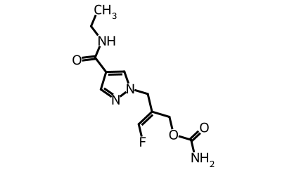 CCNC(=O)c1cnn(CC(=CF)COC(N)=O)c1